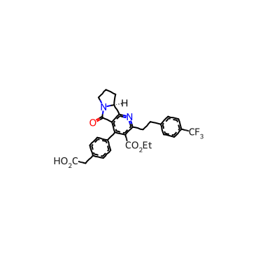 CCOC(=O)c1c(CCc2ccc(C(F)(F)F)cc2)nc2c(c1-c1ccc(CC(=O)O)cc1)C(=O)N1CCC[C@@H]21